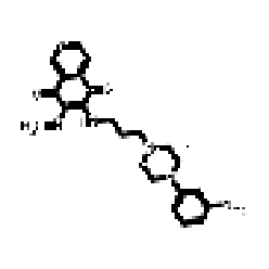 C=NC1=C(NCCCN2CCN(c3cccc([N+](=O)[O-])c3)CC2)C(=O)c2ccccc2C1=O